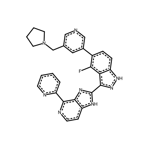 Fc1c(-c2cncc(CN3CCCC3)c2)ccc2[nH]nc(-c3nc4c(-c5ccccn5)nccc4[nH]3)c12